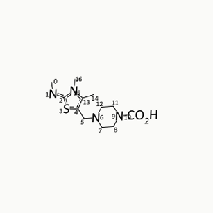 CN=c1sc(CN2CCN(C(=O)O)CC2)c(C)n1C